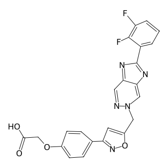 O=C(O)COc1ccc(-c2cc(Cn3cc4nc(-c5cccc(F)c5F)nc-4cn3)on2)cc1